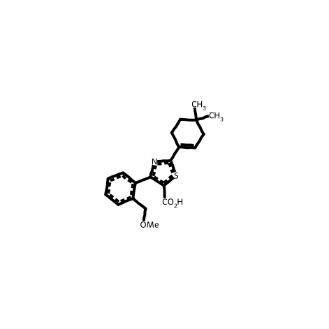 COCc1ccccc1-c1nc(C2=CCC(C)(C)CC2)sc1C(=O)O